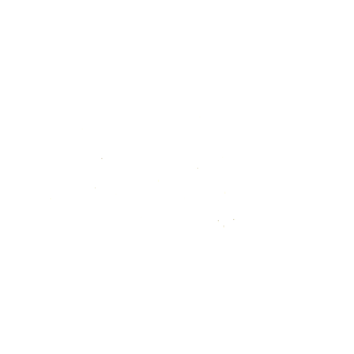 Cc1c(N(C(=O)c2cc(-c3cc(Cl)ccc3C=O)n(C)c2C)c2ccc(O)cc2)cc(C#N)n1C